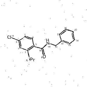 CC(C)c1cc(Cl)ccc1C(=O)NCc1ccccc1